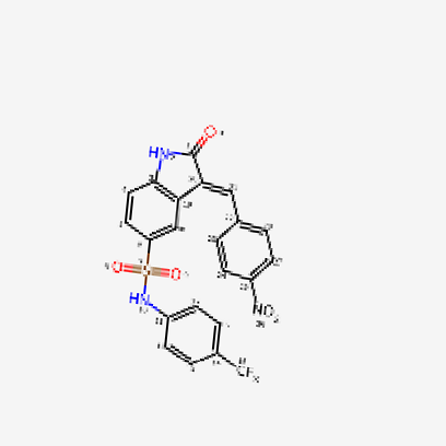 O=C1Nc2ccc(S(=O)(=O)Nc3ccc(C(F)(F)F)cc3)cc2C1=Cc1ccc([N+](=O)[O-])cc1